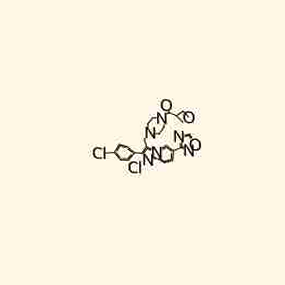 O=C(C1COC1)N1CCN(Cc2c(-c3ccc(Cl)cc3Cl)nc3ccc(-c4ncon4)cn23)CC1